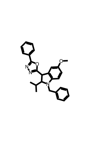 COc1ccc2c(c1)C(c1nnc(-c3ccccc3)o1)C(C(C)C)N2Cc1ccccc1